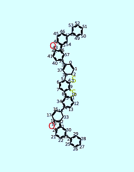 C1=CC2Sc3c(ccc4c3sc3ccc(C5C=Cc6oc7ccc(-c8ccccc8)cc7c6C5)cc34)C2C=C1c1ccc2oc3ccc(-c4ccccc4)cc3c2c1